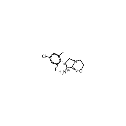 N[C@@H]1C2=NOCCN2C[C@H]1c1c(F)cc(Cl)cc1F